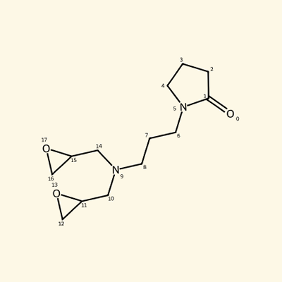 O=C1CCCN1CCCN(CC1CO1)CC1CO1